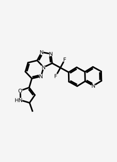 CC1C=C(c2ccc3nnc(C(F)(F)c4ccc5ncccc5c4)n3n2)ON1